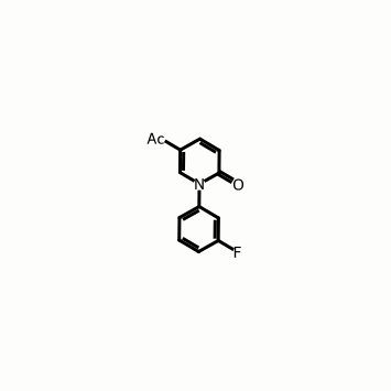 CC(=O)c1ccc(=O)n(-c2cccc(F)c2)c1